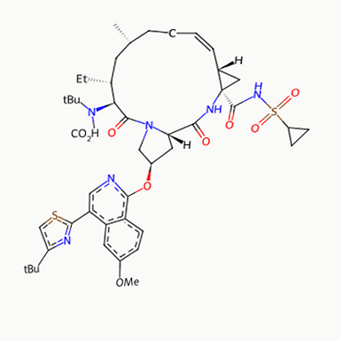 CC[C@@H]1C[C@H](C)CCC=C[C@@H]2C[C@@]2(C(=O)NS(=O)(=O)C2CC2)NC(=O)[C@@H]2C[C@@H](Oc3ncc(-c4nc(C(C)(C)C)cs4)c4cc(OC)ccc34)CN2C(=O)[C@H]1N(C(=O)O)C(C)(C)C